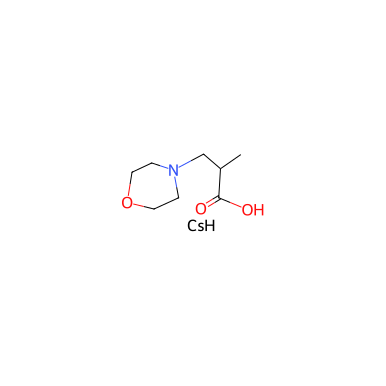 CC(CN1CCOCC1)C(=O)O.[CsH]